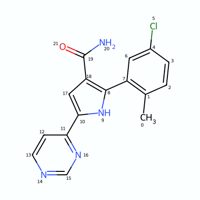 Cc1ccc(Cl)cc1-c1[nH]c(-c2ccncn2)cc1C(N)=O